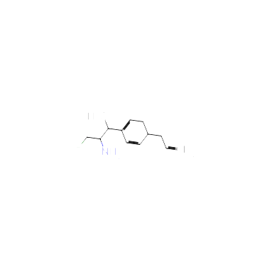 C=CCC1C=CC(C(C)C(N)CF)=CC1